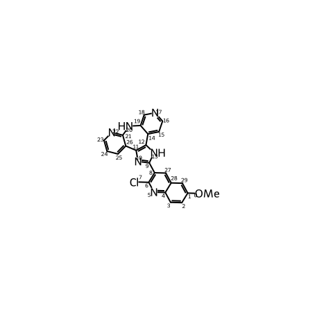 COc1ccc2nc(Cl)c(-c3nc4c([nH]3)-c3ccncc3Nc3ncccc3-4)cc2c1